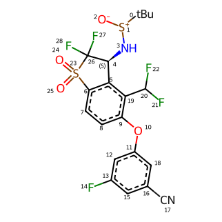 CC(C)(C)[S+]([O-])N[C@H]1c2c(ccc(Oc3cc(F)cc(C#N)c3)c2C(F)F)S(=O)(=O)C1(F)F